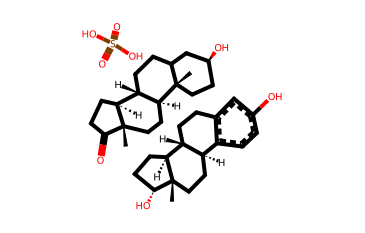 C[C@]12CC[C@@H]3c4ccc(O)cc4CC[C@H]3[C@@H]1CC[C@H]2O.C[C@]12CC[C@H](O)CC1CC[C@@H]1[C@@H]2CC[C@]2(C)C(=O)CC[C@@H]12.O=S(=O)(O)O